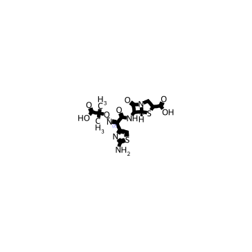 CC(C)(O/N=C(\C(=O)NC1C(=O)N2CC(C(=O)O)S[C@H]12)c1csc(N)n1)C(=O)O